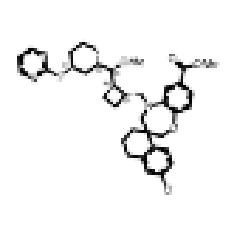 COC(=O)c1ccc2c(c1)N(C[C@@H]1CC[C@H]1[C@H](OC)[C@H]1CCC[C@H](Sc3ncccn3)C1)CC1(CCCc3cc(Cl)ccc31)CO2